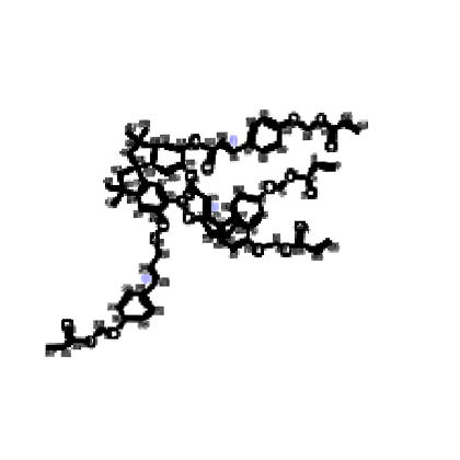 C=CC(=O)OCOc1ccc(/C=C\COOc2cc3c(cc2OOC/C=C/c2ccc(OCOC(=O)C=C)cc2)C(C)(C)CC32CC(C)(C)c3cc(OC(=O)/C=C/c4ccc(OCOC(=O)C=C)cc4)c(OC(=O)/C=C/c4ccc(OCOC(=O)C=C)cc4)cc32)cc1